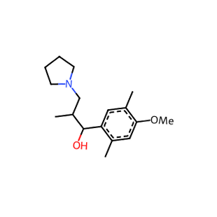 COc1cc(C)c(C(O)C(C)CN2CCCC2)cc1C